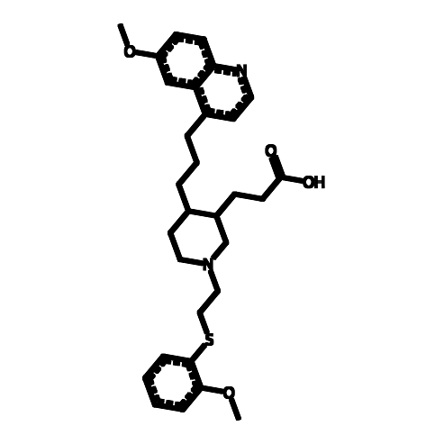 COc1ccc2nccc(CCCC3CCN(CCSc4ccccc4OC)CC3CCC(=O)O)c2c1